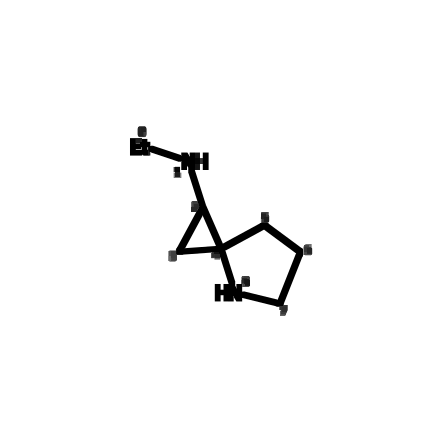 CCNC1CC12CCCN2